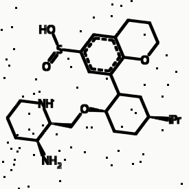 CC(C)[C@H]1CC[C@@H](OC[C@@H]2NCCC[C@@H]2N)C(c2cc(S(=O)O)cc3c2OCCC3)C1